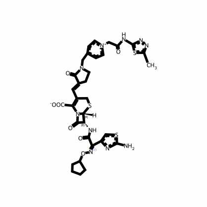 Cc1nnc(NC(=O)C[n+]2ccc(CN3CCC(=CC4=C(C(=O)[O-])N5C(=O)[C@@H](NC(=O)/C(=N\OC6CCCC6)c6csc(N)n6)[C@H]5SC4)C3=O)cc2)s1